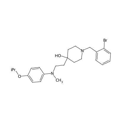 CC(C)Oc1ccc(N(C)CCC2(O)CCN(Cc3ccccc3Br)CC2)cc1